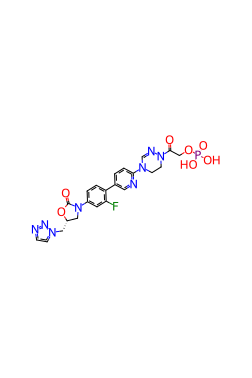 O=C(COP(=O)(O)O)N1CCN(c2ccc(-c3ccc(N4C[C@H](Cn5ccnn5)OC4=O)cc3F)cn2)C=N1